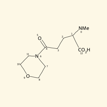 CNC(CCC(=O)N1CCOCC1)C(=O)O